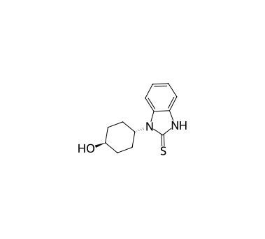 O[C@H]1CC[C@H](n2c(=S)[nH]c3ccccc32)CC1